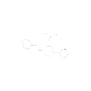 CCC(N)=O.c1ccc(CCN2CCC(c3ccccc3)CC2)cc1